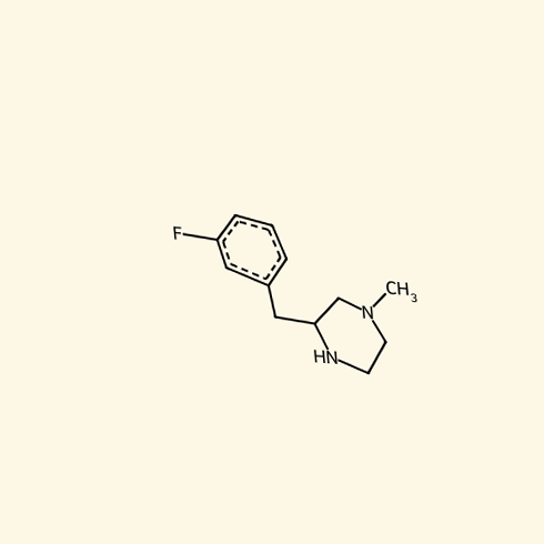 CN1CCNC(Cc2cccc(F)c2)C1